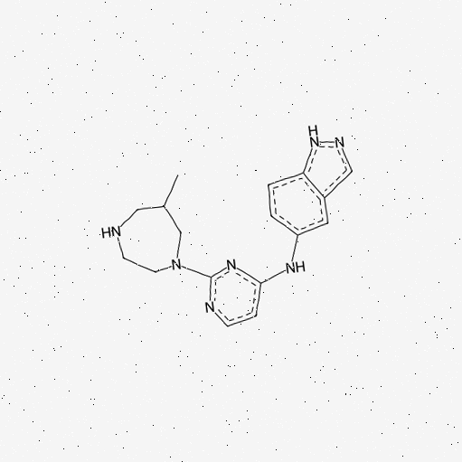 CC1CNCCN(c2nccc(Nc3ccc4[nH]ncc4c3)n2)C1